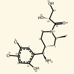 C[C@H]1C[C@H]([C@@H](N)c2cc(Cl)c(Cl)cc2O)CCN1C(=O)[C@H](O)CO